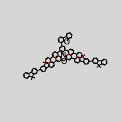 CC1(C)c2ccccc2-c2ccc(-c3ccc4c(c3)C(C)(C)c3cc(-c5ccc6c(c5)Oc5cc(-c7ccc8c(c7)C(C)(C)c7cc(-c9ccc%10c(c9)C(C)(C)c9ccccc9-%10)ccc7-8)ccc5N6c5c(-c6ccc(-c7ccccc7)cc6)cc(-c6cccc7c6oc6ccccc67)cc5-c5ccc(-c6ccccc6)cc5)ccc3-4)cc21